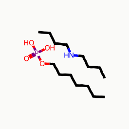 CCCCCCCOP(=O)(O)O.CCCCNCCCC